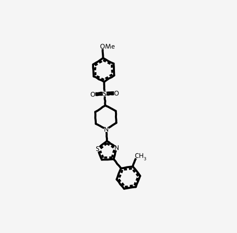 COc1ccc(S(=O)(=O)C2CCN(c3nc(-c4ccccc4C)cs3)CC2)cc1